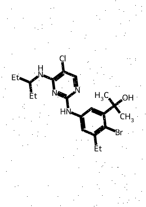 CCc1cc(Nc2ncc(Cl)c(NC(CC)CC)n2)cc(C(C)(C)O)c1Br